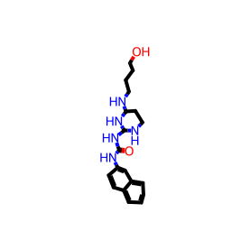 O=C(Nc1ccc2ccccc2c1)NC1NCCC(NCCCCO)N1